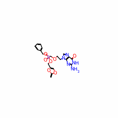 C=C1OC=C(COP(=O)(COCCn2cnc3c(=O)[nH]c(N)nc32)OCc2ccccc2)O1